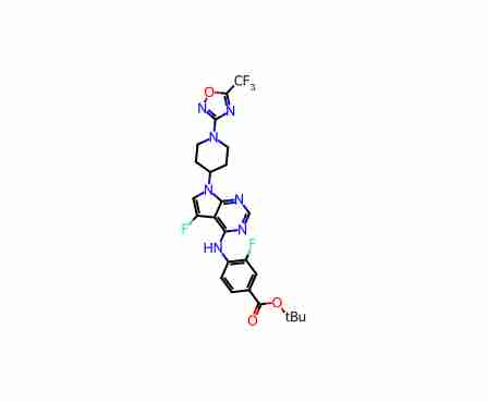 CC(C)(C)OC(=O)c1ccc(Nc2ncnc3c2c(F)cn3C2CCN(c3noc(C(F)(F)F)n3)CC2)c(F)c1